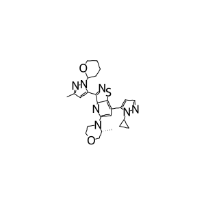 Cc1cc(-c2nsc3c(-c4ccnn4C4CC4)cc(N4CCOC[C@H]4C)nc23)n(C2CCCCO2)n1